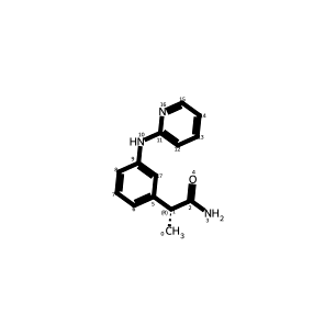 C[C@@H](C(N)=O)c1cccc(Nc2ccccn2)c1